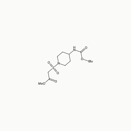 COC(=O)CS(=O)(=O)N1CCC(NC(=O)OC(C)(C)C)CC1